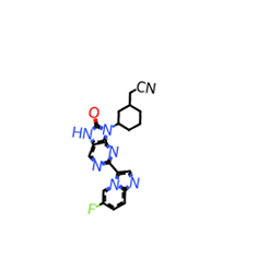 N#CCC1CCCC(n2c(=O)[nH]c3cnc(-c4cnc5ccc(F)cn45)nc32)C1